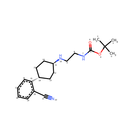 CC(C)(C)OC(=O)NCCN[C@H]1CC[C@H](c2ccccc2C#N)CC1